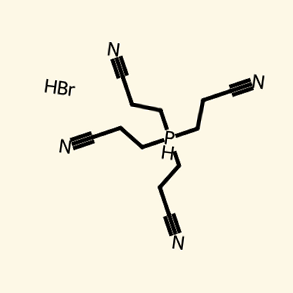 Br.N#CCC[PH](CCC#N)(CCC#N)CCC#N